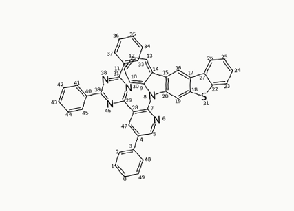 c1ccc(-c2cnc(-n3c4ccccc4c4cc5c(cc43)sc3ccccc35)c(-c3nc(-c4ccccc4)nc(-c4ccccc4)n3)c2)cc1